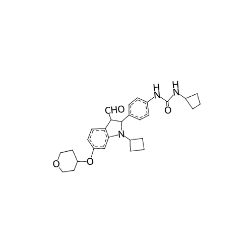 O=CC1c2ccc(OC3CCOCC3)cc2N(C2CCC2)C1c1ccc(NC(=O)NC2CCC2)cc1